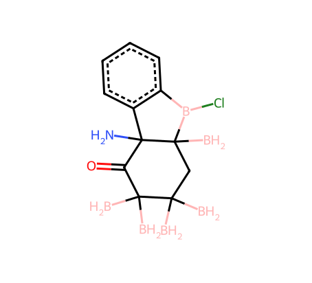 BC1(B)CC2(B)B(Cl)c3ccccc3C2(N)C(=O)C1(B)B